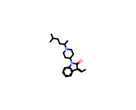 CC=C1C(=O)N(C2CCN(C(C)CCC(C)C)CC2)c2ccccc21